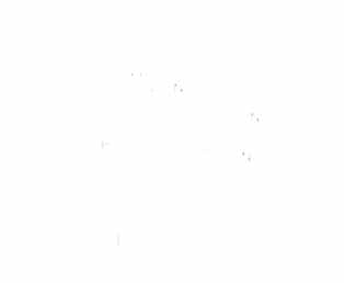 CCCCCCOc1nsnc1C1=CCCN(C)C1.O=C(O)CC(O)C(=O)O